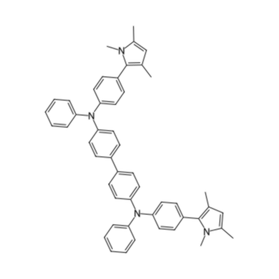 Cc1cc(C)n(C)c1-c1ccc(N(c2ccccc2)c2ccc(-c3ccc(N(c4ccccc4)c4ccc(-c5c(C)cc(C)n5C)cc4)cc3)cc2)cc1